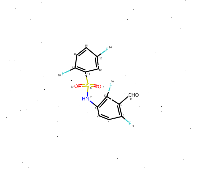 O=Cc1c(F)ccc(NS(=O)(=O)c2cc(F)ccc2F)c1F